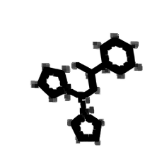 CC(=CP(n1cccc1)n1cccc1)c1ccccc1